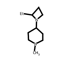 CCC1CCN1C1CCN(C)CC1